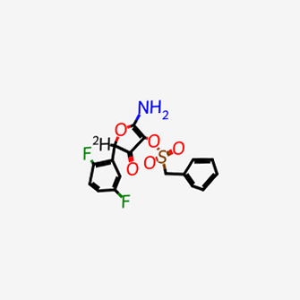 [2H]C1(c2cc(F)ccc2F)OC(N)=C(OS(=O)(=O)Cc2ccccc2)C1=O